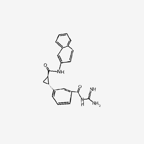 N=C(N)NC(=O)c1cccc([C@@H]2C[C@H]2C(=O)Nc2ccc3ccccc3c2)c1